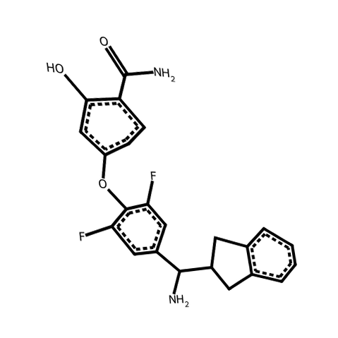 NC(=O)c1ccc(Oc2c(F)cc(C(N)C3Cc4ccccc4C3)cc2F)cc1O